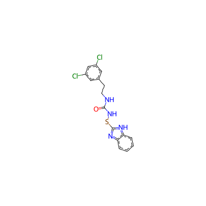 O=C(NCCc1cc(Cl)cc(Cl)c1)NSc1nc2ccccc2[nH]1